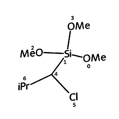 CO[Si](OC)(OC)C(Cl)C(C)C